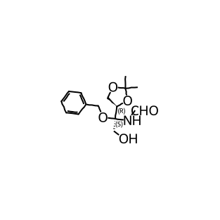 CC1(C)OC[C@H]([C@@](CO)(NC=O)OCc2ccccc2)O1